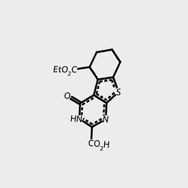 CCOC(=O)C1CCCc2sc3nc(C(=O)O)[nH]c(=O)c3c21